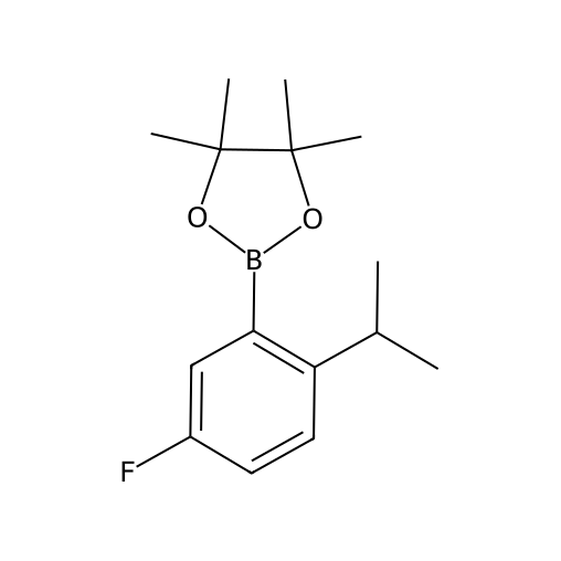 CC(C)c1ccc(F)cc1B1OC(C)(C)C(C)(C)O1